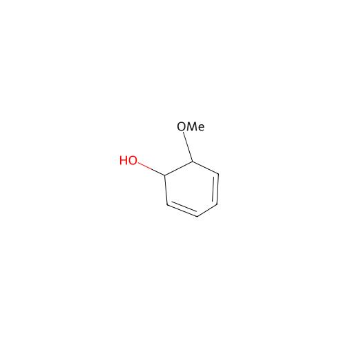 COC1C=CC=CC1O